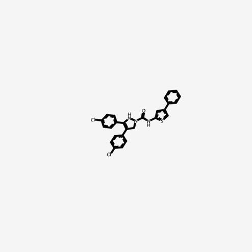 O=C(Nc1cc(-c2ccccc2)cs1)N1CC(c2ccc(Cl)cc2)=C(c2ccc(Cl)cc2)N1